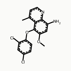 COc1cc(N)c2nccc(C)c2c1Oc1ccc(Cl)cc1Cl